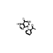 CC(=O)c1ccccn1.O=c1[nH]cnc2nc[nH]c12